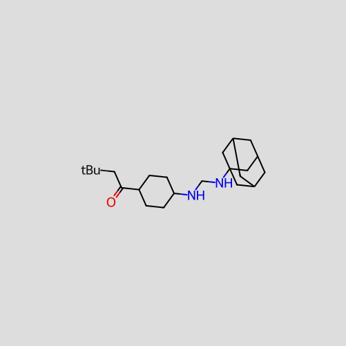 CC(C)(C)CC(=O)C1CCC(NCNC23CC4CC(CC(C4)C2)C3)CC1